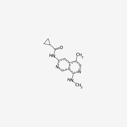 CNc1ncc(C)c2cc(NC(=O)C3CC3)ncc12